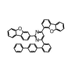 c1ccc(-c2ccc(-c3ccccc3-c3cc(-c4cccc5c4oc4ccccc45)nc(-c4ccc5c(c4)oc4ccccc45)n3)cc2)cc1